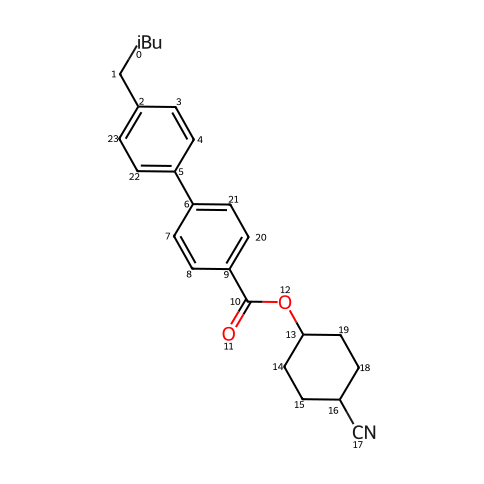 CCC(C)Cc1ccc(-c2ccc(C(=O)OC3CCC(C#N)CC3)cc2)cc1